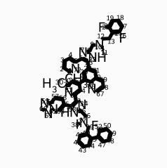 Cc1cccc(-c2nc(CN(I)CCc3c(F)cccc3F)[nH]c2-c2cc(-c3cc(C)nc(-c4nc(CN(I)Cc5ccccc5-c5ccccc5F)[nH]c4-c4ccc5ncnn5c4)c3)c3ncccc3c2)n1